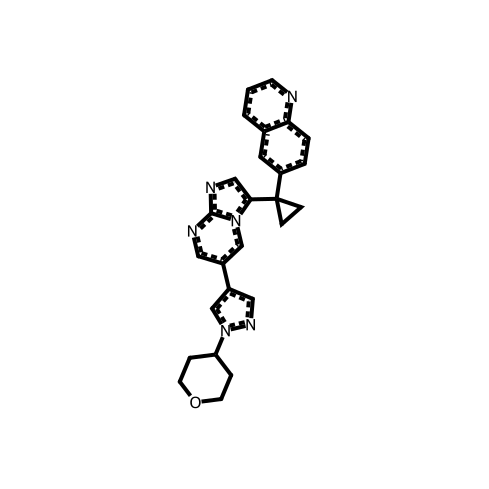 c1cnc2ccc(C3(c4cnc5ncc(-c6cnn(C7CCOCC7)c6)cn45)CC3)cc2c1